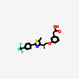 Cc1sc(-c2ccc(C(F)(F)F)cc2)nc1[C@@H](C)COc1cccc(CC(=O)O)c1